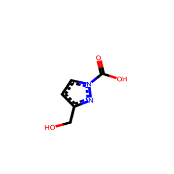 O=C(O)n1ccc(CO)n1